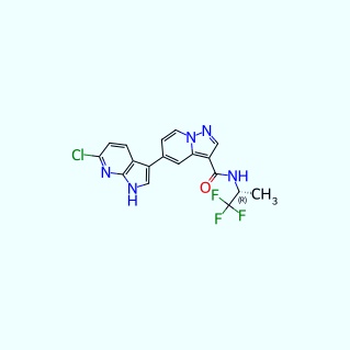 C[C@@H](NC(=O)c1cnn2ccc(-c3c[nH]c4nc(Cl)ccc34)cc12)C(F)(F)F